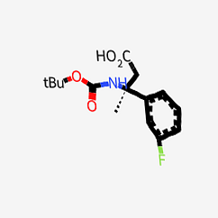 CC(C)(C)OC(=O)N[C@@](C)(CC(=O)O)c1cccc(F)c1